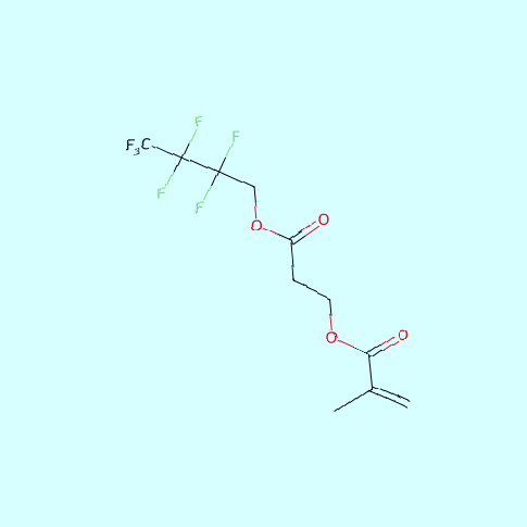 C=C(C)C(=O)OCCC(=O)OCC(F)(F)C(F)(F)C(F)(F)F